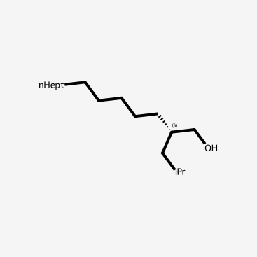 CCCCCCCCCCCC[C@H](CO)CC(C)C